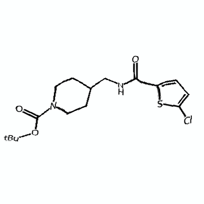 CC(C)(C)OC(=O)N1CCC(CNC(=O)c2ccc(Cl)s2)CC1